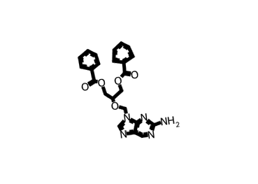 Nc1ncc2ncn(COC(COC(=O)c3ccccc3)COC(=O)c3ccccc3)c2n1